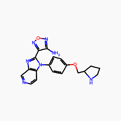 Nc1nonc1-c1nc2cnccc2n1-c1ccc(OCC2CCCN2)cc1